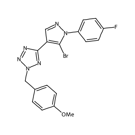 COc1ccc(Cn2nnc(-c3cnn(-c4ccc(F)cc4)c3Br)n2)cc1